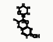 CC(Cc1ccc(O)cc1)C(=O)N1CCCCO1